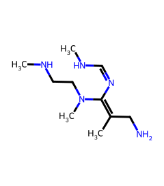 CN/C=N\C(=C(\C)CN)N(C)CCNC